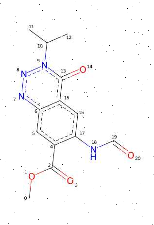 COC(=O)c1cc2nnn(C(C)C)c(=O)c2cc1NC=O